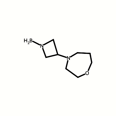 BN1CC(N2CCCOCC2)C1